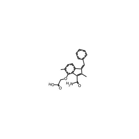 CC1=C(C(N)=O)c2c(ccc(C)c2OCC(=O)O)/C1=C\c1ccccc1